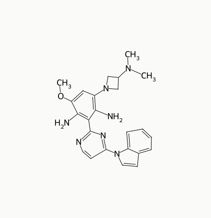 COc1cc(N2CC(N(C)C)C2)c(N)c(-c2nccc(-n3ccc4ccccc43)n2)c1N